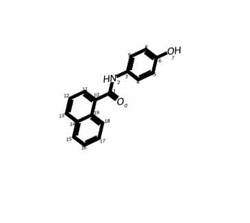 O=C(Nc1ccc(O)cc1)c1cccc2ccccc12